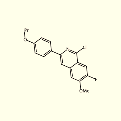 COc1cc2cc(-c3ccc(OC(C)C)cc3)nc(Cl)c2cc1F